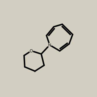 [CH]1CCOC(N2C=CC=CC=C2)C1